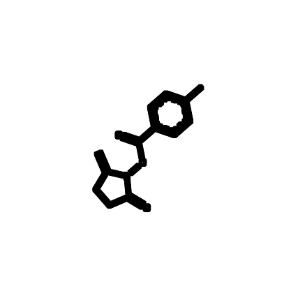 C=C1CCC(=O)N1OC(=O)c1ccc(C)cc1